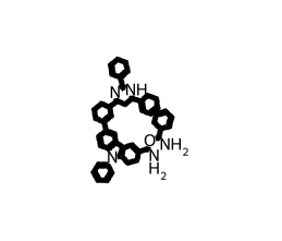 NC(OC(N)C1C=CC=CC1)C1=Cc2c(n(-c3ccccc3)c3ccc(C4=CC(C5CC(C6=CC=CCC6)NC(C6=CCCC=C6)=N5)CCC4)cc23)CC1